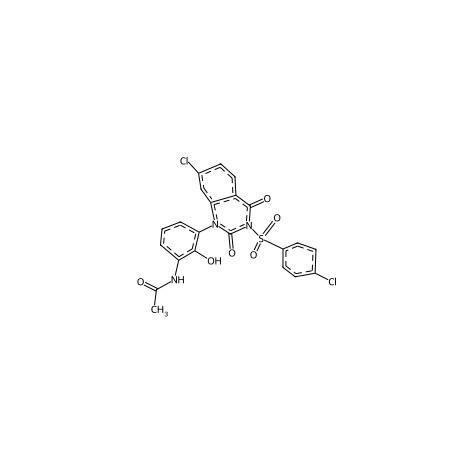 CC(=O)Nc1cccc(-n2c(=O)n(S(=O)(=O)c3ccc(Cl)cc3)c(=O)c3ccc(Cl)cc32)c1O